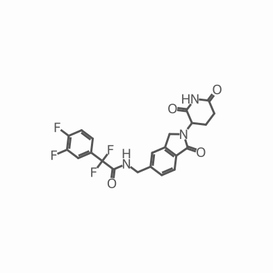 O=C1CCC(N2Cc3cc(CNC(=O)C(F)(F)c4ccc(F)c(F)c4)ccc3C2=O)C(=O)N1